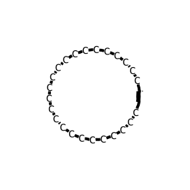 [C]1=C\CCCCCCCCCCCCCCCCCCCCCCCC/1